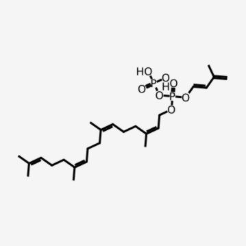 C=C(C)C=COP(=O)(OCC=C(C)CCC=C(C)CCC=C(C)CCC=C(C)C)OP(=O)(O)O